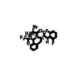 CC(C)[C@H](N)C(=O)N1C(OC(=O)C(F)(F)F)c2ccccc2C[C@H]1C(=O)Nc1c(F)cccc1F